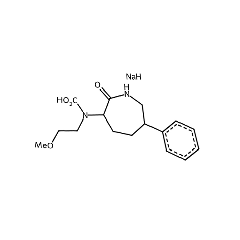 COCCN(C(=O)O)C1CCC(c2ccccc2)CNC1=O.[NaH]